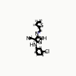 N#Cc1c(Nc2cccc(Cl)c2)n[nH]c1/N=C/c1cccs1